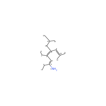 CCC(/C=C(/N)CC)=C(/C=C(C)C)CC(C)C